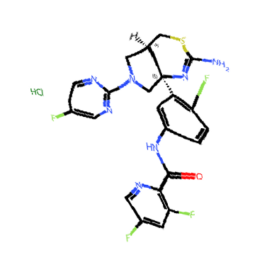 Cl.NC1=N[C@@]2(c3cc(NC(=O)c4ncc(F)cc4F)ccc3F)CN(c3ncc(F)cn3)C[C@H]2CS1